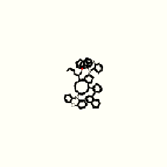 C/C=C\C=C(/Cc1cccc2ccccc12)c1cccc(N2c3ccccc3Oc3ccccc32)ccc(-c2ccccc2-c2cccc3ccccc23)c2ccc(N3c4ccccc4Oc4ccccc43)cc12